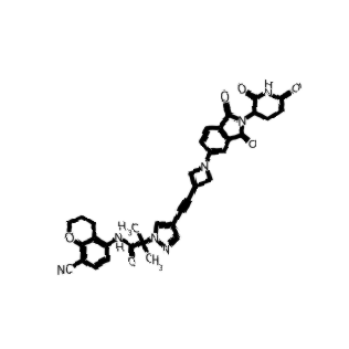 CC(C)(C(=O)Nc1ccc(C#N)c2c1CCCO2)n1cc(C#CC2CN(c3ccc4c(c3)C(=O)N(C3CCC(=O)NC3=O)C4=O)C2)cn1